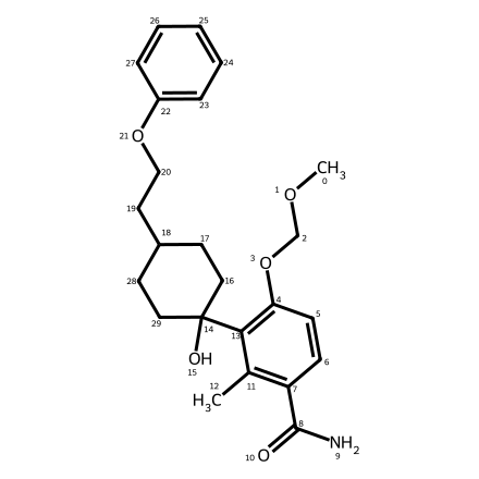 COCOc1ccc(C(N)=O)c(C)c1C1(O)CCC(CCOc2ccccc2)CC1